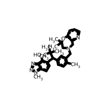 Cc1ccc(C(c2ccc3c(nnn3C)c2C)C(C)(C)C(=O)O)cc1CN1Cc2ncccc2OC(C)(C)C1